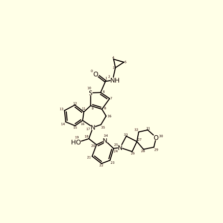 O=C(NC1CC1)c1cc2c(s1)-c1ccccc1N(C(O)c1cccc(N3CC4(CCOCC4)C3)n1)CC2